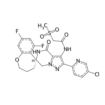 CS(=O)(=O)CC(=O)Nc1c(-c2ccc(Cl)cn2)nn2c1C(=O)N[C@@]1(CCCOc3cc(F)cc(F)c31)C2